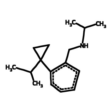 CC(C)NCc1ccccc1C1(C(C)C)CC1